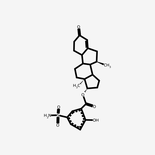 C[C@@H]1CC2=CC(=O)CCC2C2CC[C@@]3(C)C(CC[C@@H]3OC(=O)c3cc(S(N)(=O)=O)ccc3O)C21